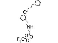 O=C(CCNCCc1cccc(OCCCCc2ccccc2)c1)OC(=O)C(F)(F)F